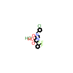 Cl.O=c1c(-c2ccccc2C(F)(F)F)cn2ccn(Cc3cccc(Cl)c3)c(=O)c2c1O